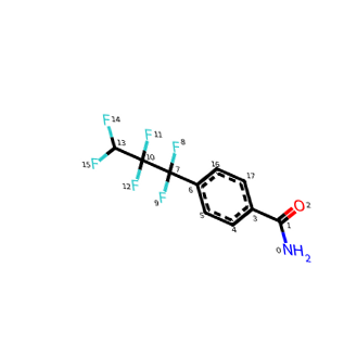 NC(=O)c1ccc(C(F)(F)C(F)(F)C(F)F)cc1